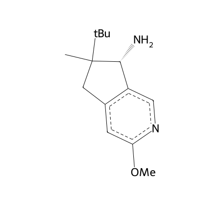 COc1cc2c(cn1)[C@@H](N)C(C)(C(C)(C)C)C2